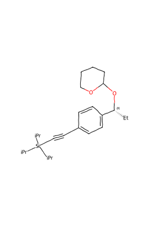 CC[C@@H](OC1CCCCO1)c1ccc(C#C[Si](C(C)C)(C(C)C)C(C)C)cc1